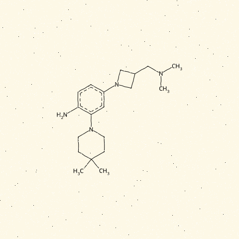 CN(C)CC1CN(c2ccc(N)c(N3CCC(C)(C)CC3)c2)C1